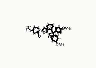 CCNc1ccn([C@H]2C[C@H](O)[C@@H](C(O)C(c3ccccc3)(c3ccc(OC)cc3)c3ccc(OC)cc3)O2)c(=O)n1